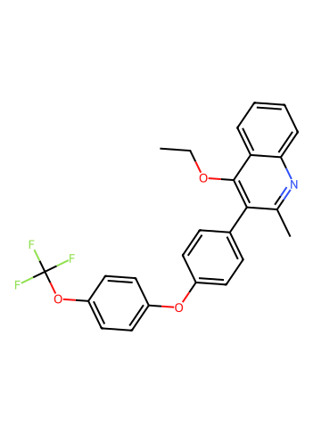 CCOc1c(-c2ccc(Oc3ccc(OC(F)(F)F)cc3)cc2)c(C)nc2ccccc12